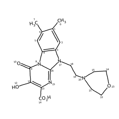 Cc1cc2c(cc1C)n1c(=O)c(O)c(C(=O)O)nc1n2CCN1CCOCC1